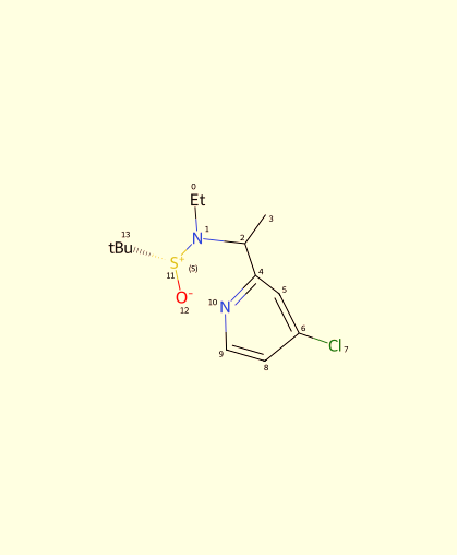 CCN(C(C)c1cc(Cl)ccn1)[S@+]([O-])C(C)(C)C